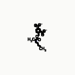 CCCC/C=C(/C)C(=O)OCc1ccc([N+](=O)[O-])cc1[N+](=O)[O-]